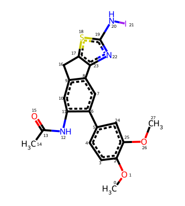 COc1ccc(-c2cc3c(cc2NC(C)=O)Cc2sc(NI)nc2-3)cc1OC